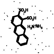 N.N.O=S(=O)(O)c1ccc2cc3ccccc3cc2c1S(=O)(=O)O